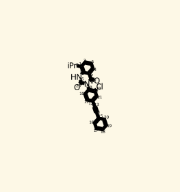 CC(C)c1cccc2c(=O)n(-c3ccc(C#Cc4ccccc4)cc3Cl)c(=O)[nH]c12